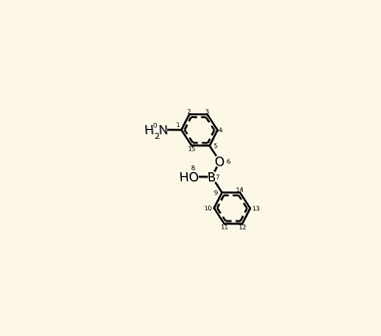 Nc1cccc(OB(O)c2ccccc2)c1